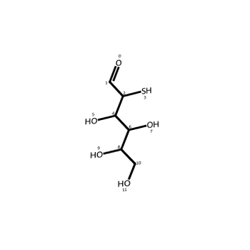 O=CC(S)C(O)C(O)C(O)CO